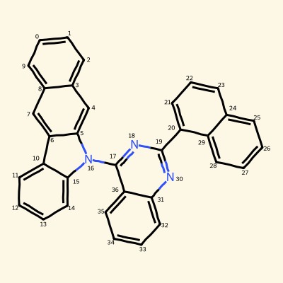 c1ccc2cc3c(cc2c1)c1ccccc1n3-c1nc(-c2cccc3ccccc23)nc2ccccc12